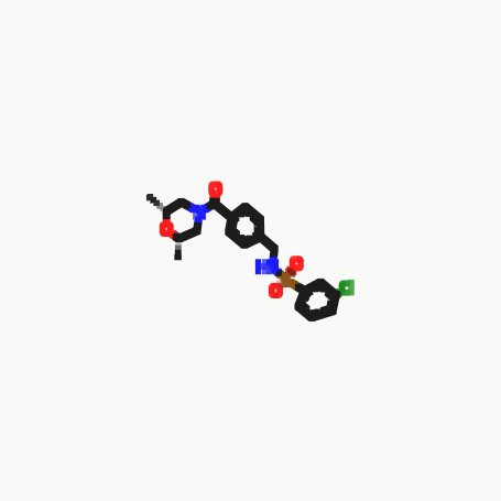 C[C@@H]1CN(C(=O)c2ccc(CNS(=O)(=O)c3cccc(Cl)c3)cc2)C[C@H](C)O1